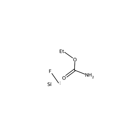 CCOC(N)=O.[C]F.[Si]